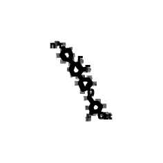 CCCC1=CCC(C2=CCC(C3C=CC(OCC4C=C(F)C(OCC)CC4)=CC3)C(F)=C2F)C=C1